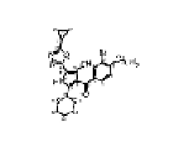 COc1ccc(C(=O)c2c(C3SCCCS3)[nH]c(-c3nnc(C4CC4)o3)c2C)cc1Br